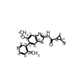 COc1cc2nc(NC(=O)C3CC3F)sc2cc1-c1cnccc1C